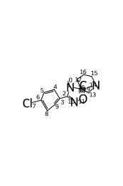 CN1C(c2ccc(Cl)cc2)=NO[C@]12CN1CCC2CC1